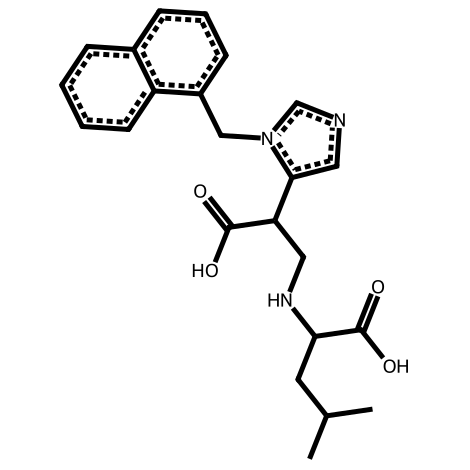 CC(C)CC(NCC(C(=O)O)c1cncn1Cc1cccc2ccccc12)C(=O)O